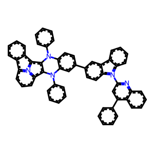 c1ccc(-c2cc(-n3c4ccccc4c4cc(-c5ccc6c(c5)N(c5ccccc5)c5c(c7c8ccccc8c8cccc5n87)N6c5ccccc5)ccc43)nc3ccccc23)cc1